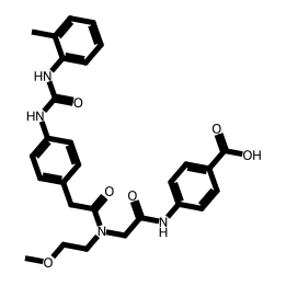 COCCN(CC(=O)Nc1ccc(C(=O)O)cc1)C(=O)Cc1ccc(NC(=O)Nc2ccccc2C)cc1